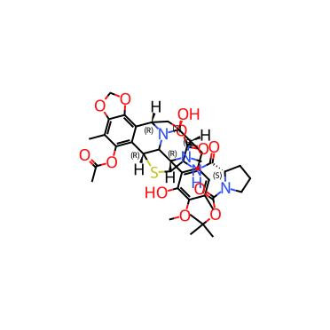 COc1c(C)cc2c(c1O)[C@@H]1C3[C@@H]4SCC(NC(=O)[C@@H]5CCCN5C(=O)OC(C)(C)C)C(=O)OC[C@@H](c5c6c(c(C)c(OC(C)=O)c54)OCO6)N3[C@@H](O)[C@H](C2)N1C